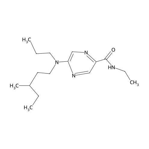 CCCN(CCC(C)CC)c1cnc(C(=O)NCC)cn1